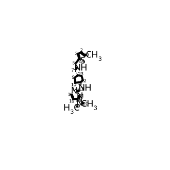 Cc1ccc(CNC[C@H]2CC[C@@H](Nc3nccc(N(C)C)n3)CC2)s1